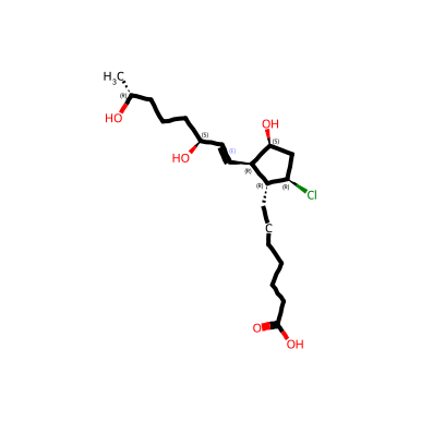 C[C@@H](O)CCC[C@H](O)/C=C/[C@@H]1[C@@H](CCCCCCC(=O)O)[C@H](Cl)C[C@@H]1O